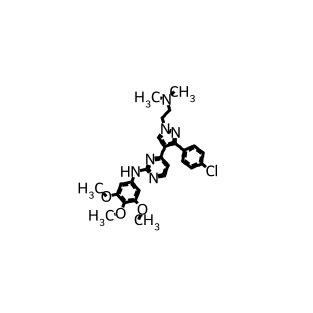 COc1cc(Nc2nccc(-c3cn(CCN(C)C)nc3-c3ccc(Cl)cc3)n2)cc(OC)c1OC